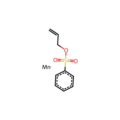 C=CCOS(=O)(=O)c1ccccc1.[Mn]